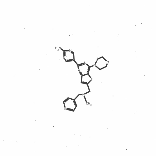 CN(Cc1ccncc1)Cc1cc2nc(-c3cnc(N)nc3)nc(N3CCOCC3)c2s1